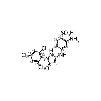 Nc1cc(Nc2cc(=O)n(-c3c(Cl)cc(Cl)cc3Cl)[nH]2)ccc1S(=O)(=O)O